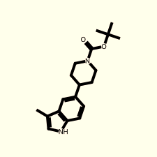 Cc1c[nH]c2ccc(C3CCN(C(=O)OC(C)(C)C)CC3)cc12